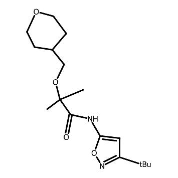 CC(C)(OCC1CCOCC1)C(=O)Nc1cc(C(C)(C)C)no1